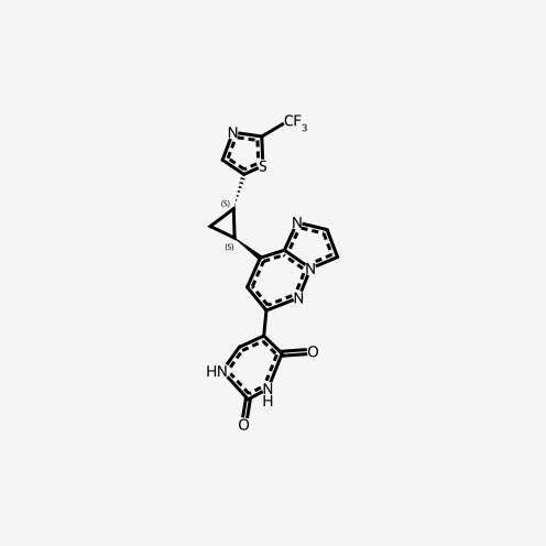 O=c1[nH]cc(-c2cc([C@H]3C[C@@H]3c3cnc(C(F)(F)F)s3)c3nccn3n2)c(=O)[nH]1